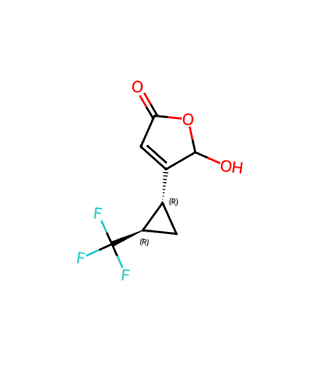 O=C1C=C([C@@H]2C[C@H]2C(F)(F)F)C(O)O1